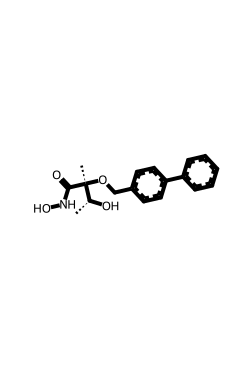 C[C@@H](O)[C@](C)(OCc1ccc(-c2ccccc2)cc1)C(=O)NO